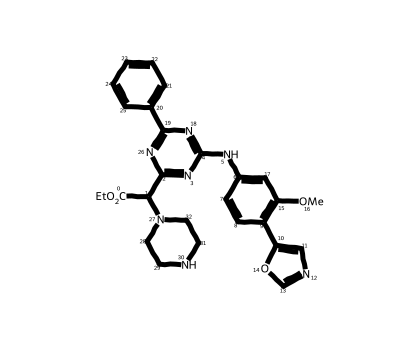 CCOC(=O)C(c1nc(Nc2ccc(-c3cnco3)c(OC)c2)nc(-c2ccccc2)n1)N1CCNCC1